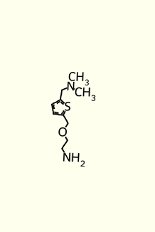 CN(C)Cc1ccc(COCCN)s1